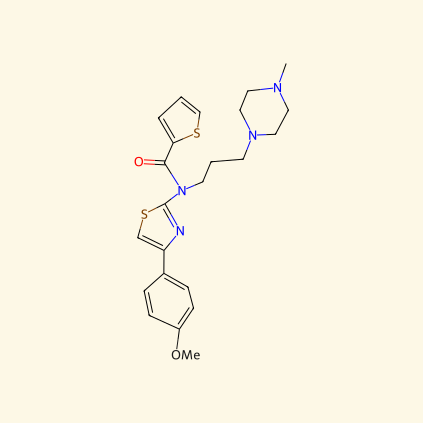 COc1ccc(-c2csc(N(CCCN3CCN(C)CC3)C(=O)c3cccs3)n2)cc1